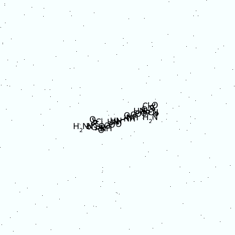 COc1cc(Cl)cc2c1C[C@H](N1CCC[C@@H](N)C1)[C@H]2Oc1ccc(S(=O)(=O)NCCOCCOCCNC(=O)NCCCCNC(=O)NCCOCCOCCNS(=O)(=O)c2ccc(O[C@H]3c4cc(Cl)cc(OC)c4C[C@@H]3N3CCC[C@@H](N)C3)c(C)c2)cc1C